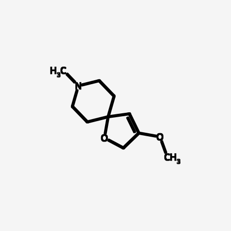 COC1=CC2(CCN(C)CC2)OC1